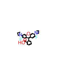 O=C(O)c1ccccc1-c1c2cc(F)c(=[N+]3CCC3)cc-2oc2cc(N3CCC3)c(F)cc12